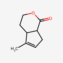 CC1=CCC2C(=O)OCCC12